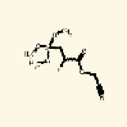 CO[Si](CC(F)C(=O)OCC#N)(OC)OC